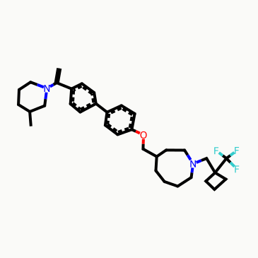 C=C(c1ccc(-c2ccc(OCC3CCCCN(CC4(C(F)(F)F)CCC4)CC3)cc2)cc1)N1CCCC(C)C1